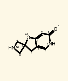 O=c1cc2c(c[nH]1)CC1(CNC1)O2